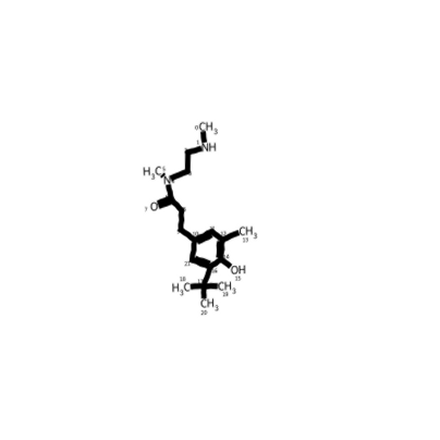 CNCCN(C)C(=O)CCc1cc(C)c(O)c(C(C)(C)C)c1